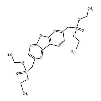 CCOP(=O)(Cc1ccc2c(c1)oc1ccc(CP(=O)(OCC)OCC)cc12)OCC